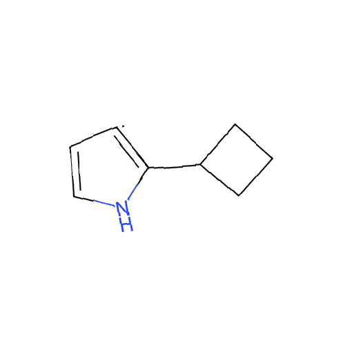 [c]1cc[nH]c1C1CCC1